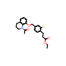 CCOC(=O)CCc1ccc(COc2cccc3c2N(C(C)=O)CCC3)cc1F